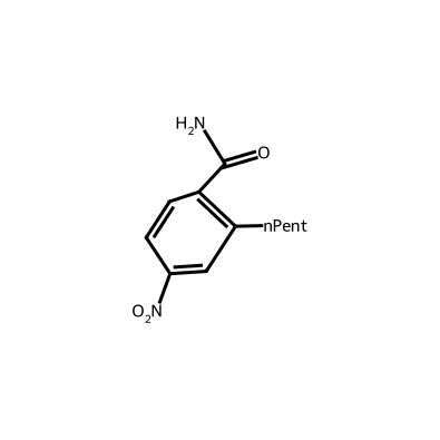 CCCCCc1cc([N+](=O)[O-])ccc1C(N)=O